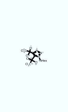 CCCCCCn1nnc(C(Cl)(Cl)C(Cl)(Cl)Cl)c1C(Cl)(Cl)C(Cl)(Cl)Cl